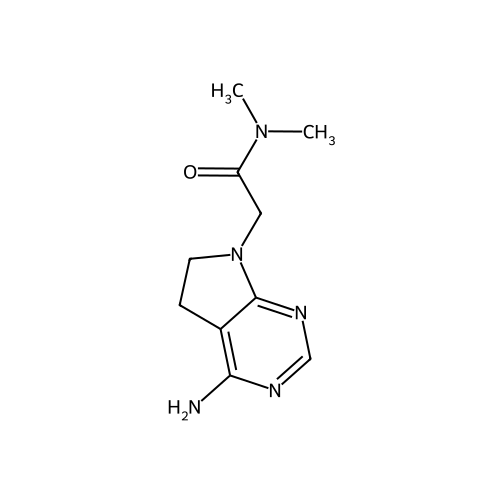 CN(C)C(=O)CN1CCc2c(N)ncnc21